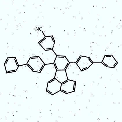 N#Cc1ccc(-c2cc(-c3ccc(-c4ccccc4)cc3)c3c(c2-c2ccc(-c4ccccc4)cc2)-c2cccc4cccc-3c24)cc1